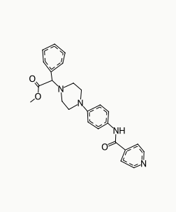 COC(=O)C(c1ccccc1)N1CCN(c2ccc(NC(=O)c3ccncc3)cc2)CC1